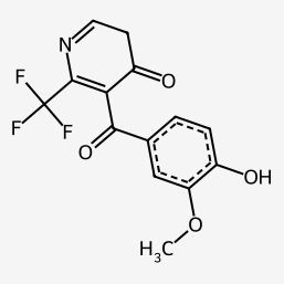 COc1cc(C(=O)C2=C(C(F)(F)F)N=CCC2=O)ccc1O